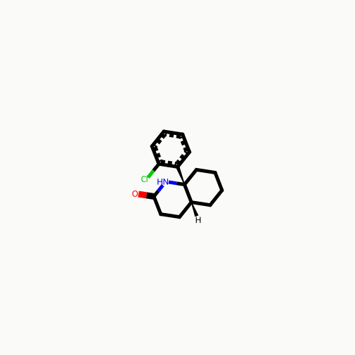 O=C1CC[C@H]2CCCC[C@@]2(c2ccccc2Cl)N1